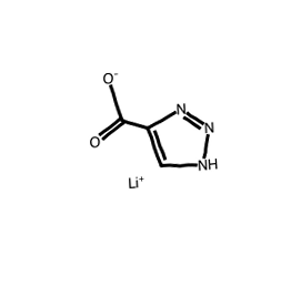 O=C([O-])c1c[nH]nn1.[Li+]